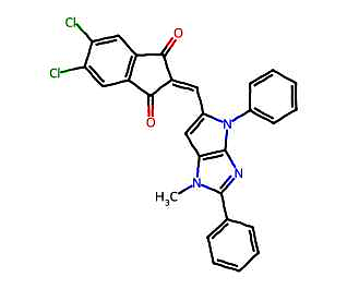 Cn1c(-c2ccccc2)nc2c1cc(C=C1C(=O)c3cc(Cl)c(Cl)cc3C1=O)n2-c1ccccc1